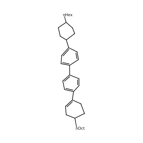 CCCCCCCCC1CC=C(c2ccc(-c3ccc(C4CCC(CCCCCC)CC4)cc3)cc2)CC1